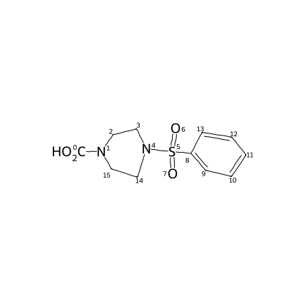 O=C(O)N1CCN(S(=O)(=O)c2ccccc2)CC1